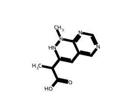 CC(C(=O)O)C1=Cc2cncnc2N(C)N1